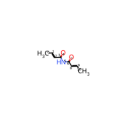 C/C=C/C(=O)NC(=O)/C=C/C